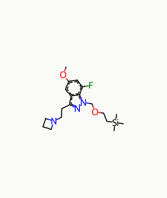 COc1cc(F)c2c(c1)c(CCN1CCC1)nn2COCC[Si](C)(C)C